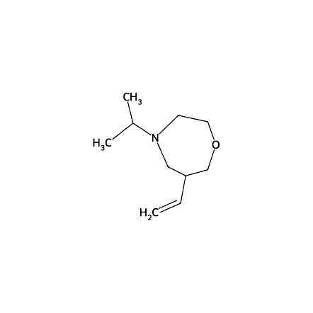 C=CC1COCCN(C(C)C)C1